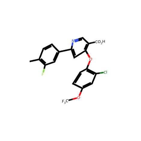 Cc1ccc(-c2cc(Oc3ccc(OC(F)(F)F)cc3Cl)c(C(=O)O)cn2)cc1F